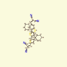 N#CC(C#N)=CC1=Cc2sc3c4c(sc3c2C12CCCCC2)-c1sc(C=C(C#N)C#N)cc1C41CCCCC1